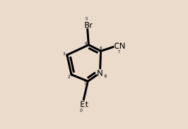 CCc1ccc(Br)c(C#N)n1